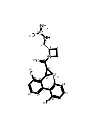 N[S+]([O-])NC[C@@H]1CCN1C(=O)C1CC1c1c(F)cccc1-c1c(F)cccc1F